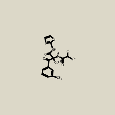 CCOC(=O)C(NC(=O)C(Cl)C(C)C)(C(=O)Nc1nccs1)C(=O)c1cccc(C(F)(F)F)c1